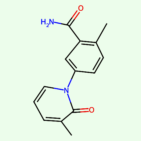 Cc1ccc(-n2cccc(C)c2=O)cc1C(N)=O